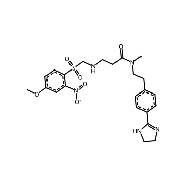 COc1ccc(S(=O)(=O)CNCCC(=O)N(C)CCc2ccc(C3=NCCN3)cc2)c([N+](=O)[O-])c1